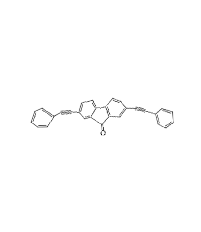 O=C1c2cc(C#Cc3ccccc3)ccc2-c2ccc(C#Cc3ccccc3)cc21